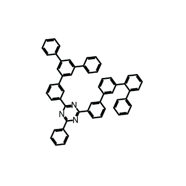 c1ccc(-c2cc(-c3ccccc3)cc(-c3cccc(-c4nc(-c5ccccc5)nc(-c5cccc(-c6cccc(-c7ccccc7-c7ccccc7)c6)c5)n4)c3)c2)cc1